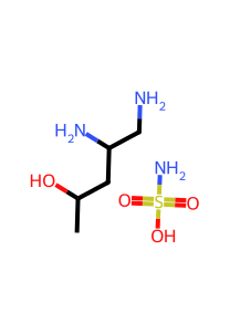 CC(O)CC(N)CN.NS(=O)(=O)O